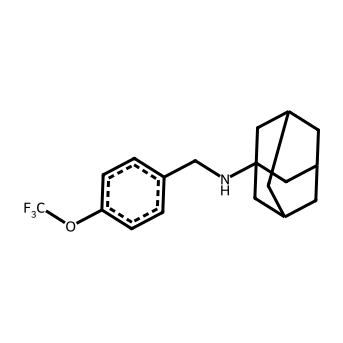 FC(F)(F)Oc1ccc(CNC23CC4CC(CC(C4)C2)C3)cc1